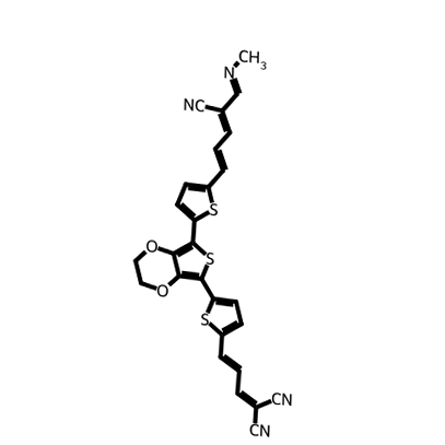 C/N=C/C(C#N)=C/C=C/c1ccc(-c2sc(-c3ccc(/C=C/C=C(C#N)C#N)s3)c3c2OCCO3)s1